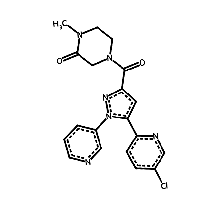 CN1CCN(C(=O)c2cc(-c3ccc(Cl)cn3)n(-c3cccnc3)n2)CC1=O